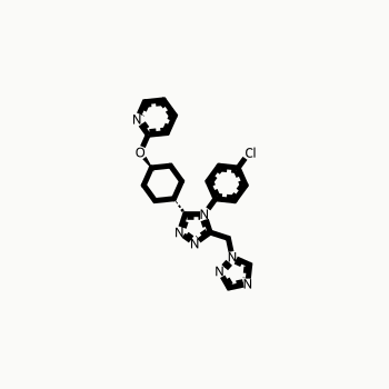 Clc1ccc(-n2c(Cn3cncn3)nnc2[C@H]2CC[C@H](Oc3ccccn3)CC2)cc1